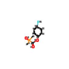 CP(C)(=O)C(=O)Oc1ccc(F)cc1